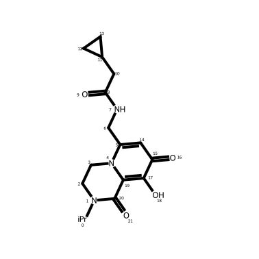 CC(C)N1CCn2c(CNC(=O)CC3CC3)cc(=O)c(O)c2C1=O